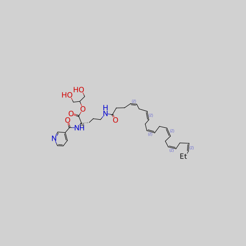 CC/C=C\C/C=C\C/C=C\C/C=C\C/C=C\C/C=C\CCC(=O)NCCC[C@H](NC(=O)c1cccnc1)C(=O)OC(CO)CO